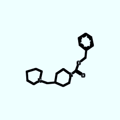 O=C(OCc1ccccc1)N1CCC(CN2CCCCC2)CC1